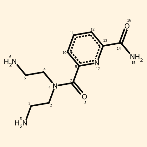 NCCN(CCN)C(=O)c1cccc(C(N)=O)n1